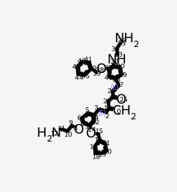 C=C(/C=C/c1ccc(OCCCN)c(OCc2ccccc2)c1)CC(=O)/C=C/c1ccc(NCCCN)c(OCc2ccccc2)c1